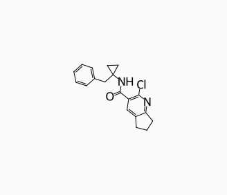 O=C(NC1(Cc2ccccc2)CC1)c1cc2c(nc1Cl)CCC2